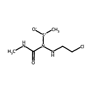 CNC(=O)N(NCCCl)[S+](C)[O-]